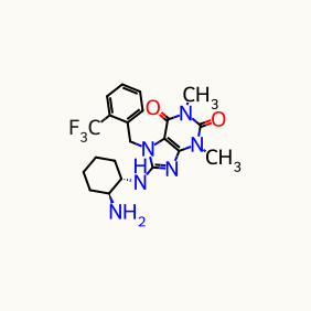 Cn1c(=O)c2c(nc(N[C@H]3CCCC[C@@H]3N)n2Cc2ccccc2C(F)(F)F)n(C)c1=O